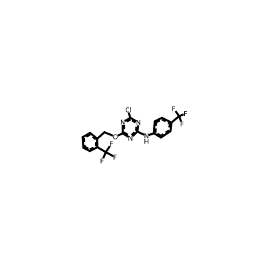 FC(F)(F)c1ccc(Nc2nc(Cl)nc(OCc3ccccc3C(F)(F)F)n2)cc1